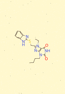 CCCCn1c(=O)[nH]c(=O)c2c1nc(CSc1nc3ccccc3[nH]1)n2CC